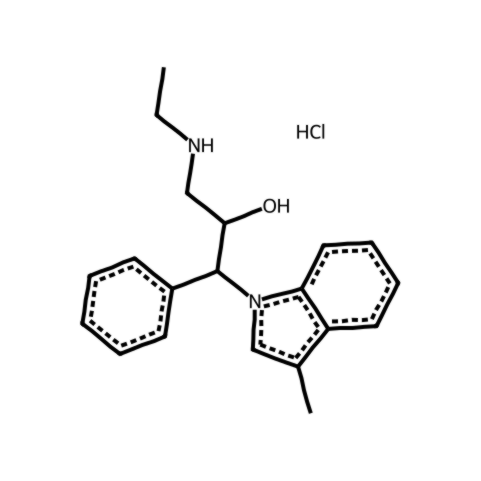 CCNCC(O)C(c1ccccc1)n1cc(C)c2ccccc21.Cl